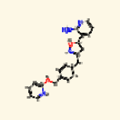 Nc1ncccc1C1CC(Cc2ccc(COc3ccccn3)cc2)=NO1